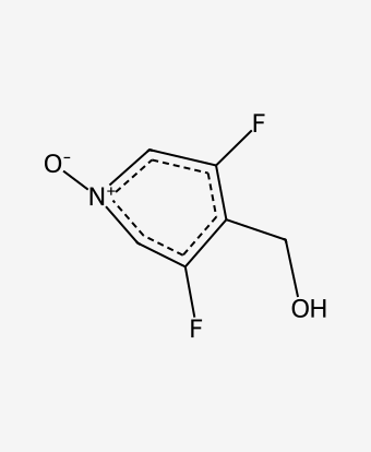 [O-][n+]1cc(F)c(CO)c(F)c1